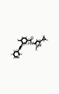 Cc1ccc(C(=O)Nc2cc(C3CC3)nn2C)cc1C#Cc1cccnc1